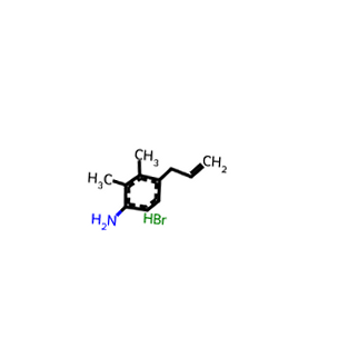 Br.C=CCc1ccc(N)c(C)c1C